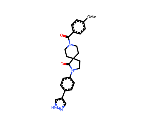 COc1ccc(C(=O)N2CCC3(CC2)CCN(c2ccc(-c4cn[nH]c4)cc2)C3=O)cc1